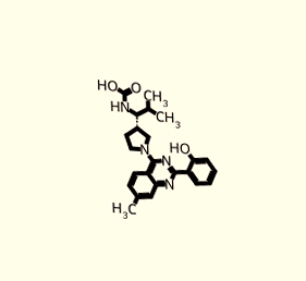 Cc1ccc2c(N3CC[C@H](C(NC(=O)O)C(C)C)C3)nc(-c3ccccc3O)nc2c1